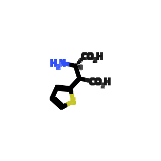 N[C@H](C(=O)O)C(C(=O)O)c1cccs1